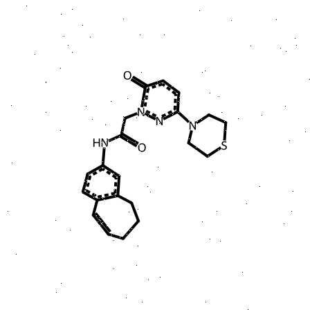 O=C(Cn1nc(N2CCSCC2)ccc1=O)Nc1ccc2c(c1)CCCC=C2